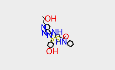 CC(O)Cc1ccc2c(Nc3cc(C(=O)Nc4ccccc4)sc3Sc3ccc(O)cc3)ncnc2n1